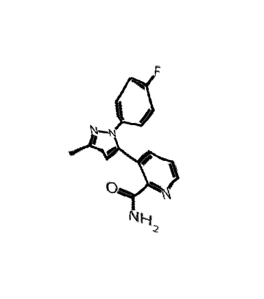 Cc1cc(-c2cccnc2C(N)=O)n(-c2ccc(F)cc2)n1